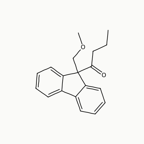 CCCC(=O)C1(COC)c2ccccc2-c2ccccc21